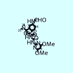 COc1cc(OC)nc(NC(=O)NS(=O)(=O)c2ccc(NC=O)cc2C(=O)N(C)C)n1